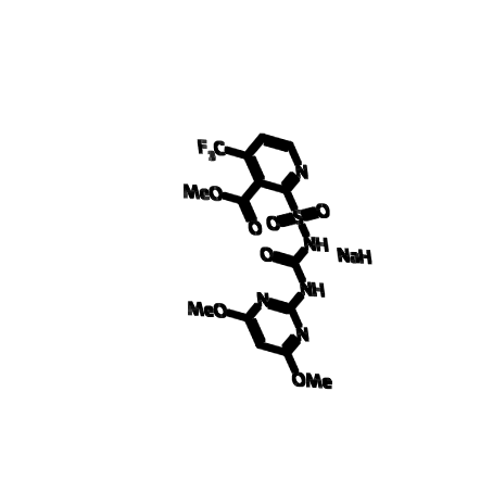 COC(=O)c1c(C(F)(F)F)ccnc1S(=O)(=O)NC(=O)Nc1nc(OC)cc(OC)n1.[NaH]